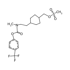 CN(CCC1CCC(COS(C)(=O)=O)CC1)C(=O)Oc1ccc(C(F)(F)F)cc1